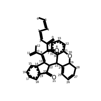 C=C(/C=C\C=C/C)C(=O)/C(C(=C)C)=C1/c2ccccc2C(=O)C1C1C2=CC=CCC2Oc2ccccc21